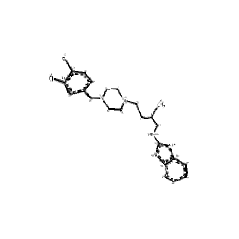 CC(CCN1CCN(Cc2ccc(Cl)c(Cl)c2)CC1)CNc1nc2ccccc2s1